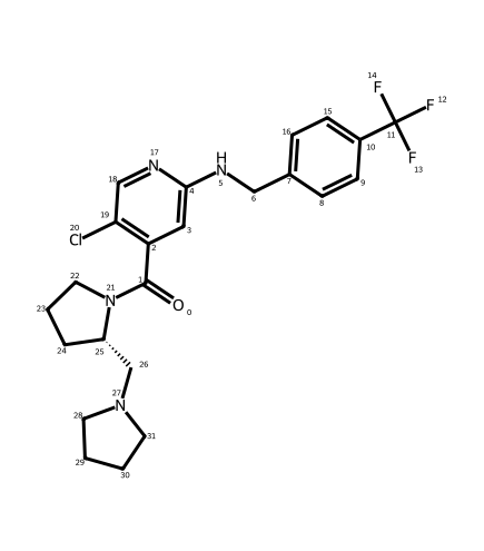 O=C(c1cc(NCc2ccc(C(F)(F)F)cc2)ncc1Cl)N1CCC[C@H]1CN1CCCC1